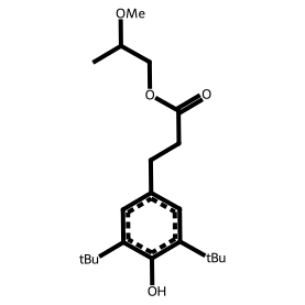 COC(C)COC(=O)CCc1cc(C(C)(C)C)c(O)c(C(C)(C)C)c1